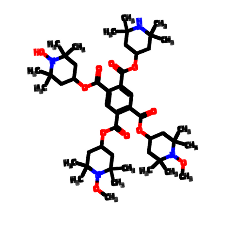 CON1C(C)(C)CC(OC(=O)c2cc(C(=O)OC3CC(C)(C)NC(C)(C)C3)c(C(=O)OC3CC(C)(C)N(O)C(C)(C)C3)cc2C(=O)OC2CC(C)(C)N(OC)C(C)(C)C2)CC1(C)C